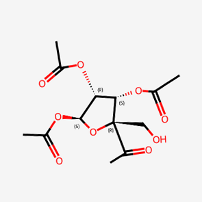 CC(=O)O[C@@H]1O[C@@](CO)(C(C)=O)[C@@H](OC(C)=O)[C@H]1OC(C)=O